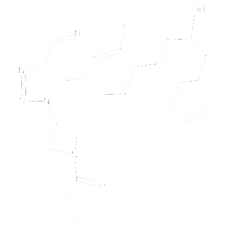 C=CC(=O)N1CC(n2nnc3cnc4c(F)c(-c5cc(O)cc6ccccc56)c(Cl)cc4c32)C1